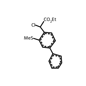 CCOC(=O)C(Cl)c1ccc(-c2ccccc2)cc1SC